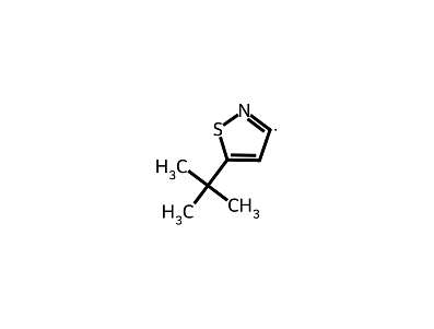 CC(C)(C)c1c[c]ns1